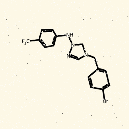 FC(F)(F)c1ccc(NN2CN(Cc3ccc(Br)cc3)C=N2)cc1